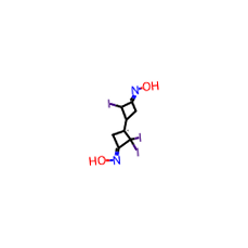 ON=C1CC([C]2CC(=NO)C2(I)I)C1I